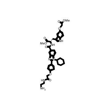 COC(=O)COc1ccc2[nH]cc(C[C@H](NC(=O)c3ccc4c(c3)nc(-c3ccc(OCC(=O)NCCN)cc3)n4C3CCCCC3)C(=O)OC)c2c1